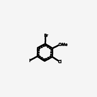 COc1c(Cl)cc(I)cc1Br